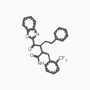 NC(=O)C(Cc1ccccc1C(F)(F)F)C(CCc1ccccc1)C(=O)c1nc2ccccc2o1